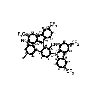 Cc1cc(C#N)cc(-c2ccc(-n3c4ccc(C(F)(F)F)cc4c4cc(C(F)(F)F)ccc43)c(C#N)c2-n2c3ccc(C(F)(F)F)cc3c3cc(C(F)(F)F)ccc32)c1